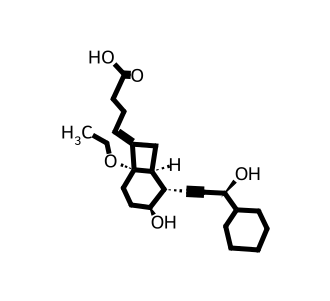 CCO[C@@]12CC[C@H](O)[C@@H](C#C[C@@H](O)C3CCCCC3)[C@@H]1CC2=CCCC(=O)O